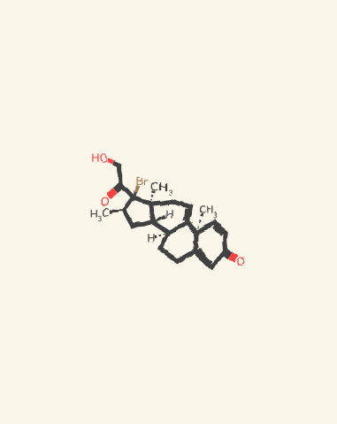 C[C@@H]1C[C@H]2[C@@H]3CCC4=CC(=O)C=C[C@]4(C)C3=CC[C@]2(C)[C@@]1(Br)C(=O)CO